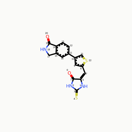 O=C1NC(=S)NC1=Cc1cc(-c2ccc3c(c2)CNC3=O)cs1